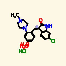 CN1CCN(c2ccccc2/C=C2/C(=O)Nc3cc(Cl)ccc32)CC1.Cl.O.O